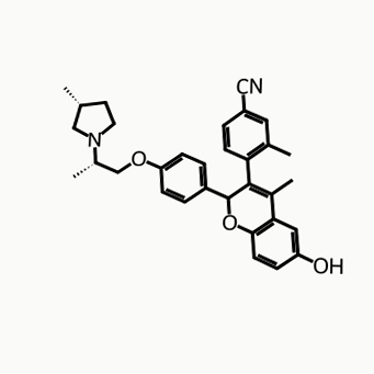 CC1=C(c2ccc(C#N)cc2C)C(c2ccc(OC[C@H](C)N3CC[C@@H](C)C3)cc2)Oc2ccc(O)cc21